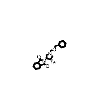 CC(C)[C@@H]1CN(COCc2ccccc2)C[C@@H]1N1C(=O)c2ccccc2C1=O